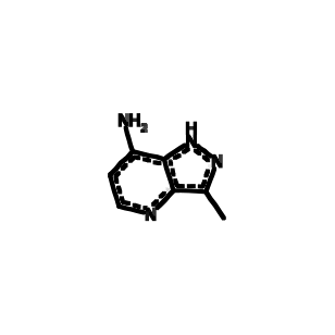 Cc1n[nH]c2c(N)ccnc12